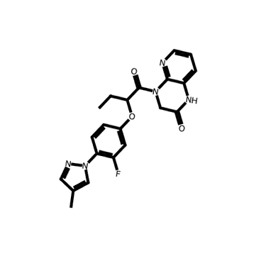 CCC(Oc1ccc(-n2cc(C)cn2)c(F)c1)C(=O)N1CC(=O)Nc2cccnc21